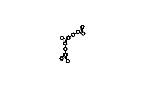 c1ccc(N(c2ccc(-c3ccc(-c4ccc5c(c4)c4ccccc4n5-c4ccccc4)cc3)cc2)c2ccc(-c3ccc(-c4ccc5c(c4)c4ccccc4n5-c4ccccc4)cc3)cc2)cc1